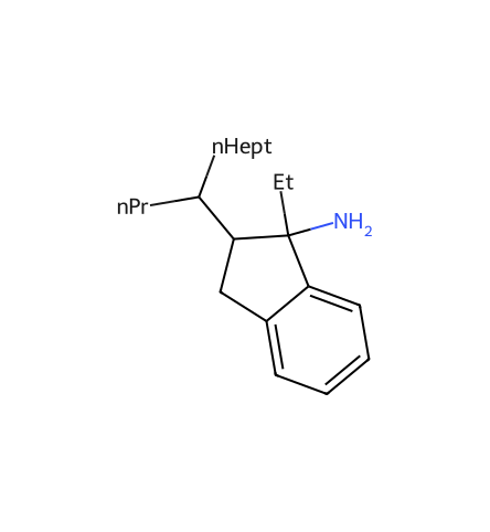 CCCCCCCC(CCC)C1Cc2ccccc2C1(N)CC